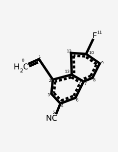 C=Cc1cc(C#N)cc2ccc(F)cc12